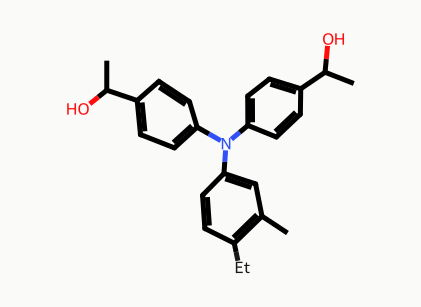 CCc1ccc(N(c2ccc(C(C)O)cc2)c2ccc(C(C)O)cc2)cc1C